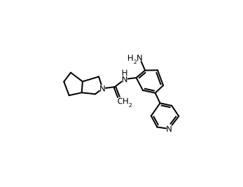 C=C(Nc1cc(-c2ccncc2)ccc1N)N1CC2CCCC2C1